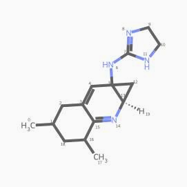 CC1CC2=CC3(NC4=NCCN4)C[C@H]3N=C2C(C)C1